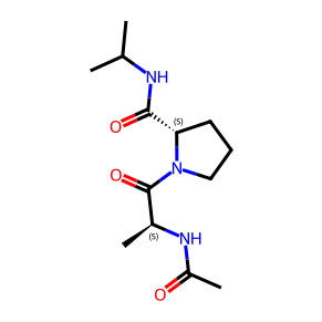 CC(=O)N[C@@H](C)C(=O)N1CCC[C@H]1C(=O)NC(C)C